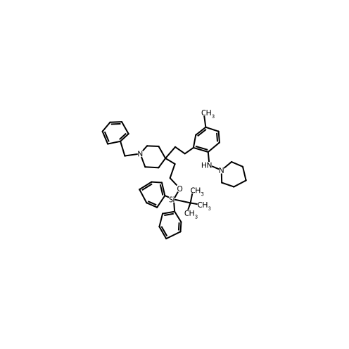 Cc1ccc(NN2CCCCC2)c(CCC2(CCO[Si](c3ccccc3)(c3ccccc3)C(C)(C)C)CCN(Cc3ccccc3)CC2)c1